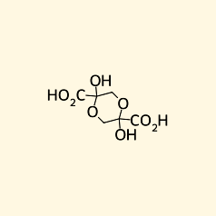 O=C(O)C1(O)COC(O)(C(=O)O)CO1